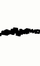 CCCCCCCc1ccc(CCc2cc3ccc4c(c3s2)-c2ccc3cc(CCc5ccc(CC)cc5)sc3c2-4)cc1